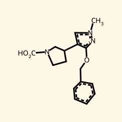 Cn1cc(C2CCN(C(=O)O)C2)c(OCc2ccccc2)n1